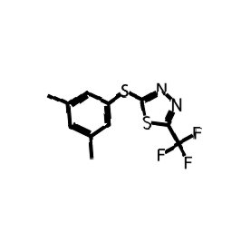 Cc1cc(C)cc(Sc2nnc(C(F)(F)F)s2)c1